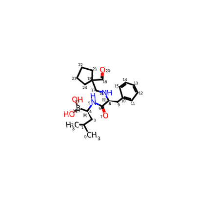 CC(C)C[C@H](NC(=O)[C@H](Cc1ccccc1)NCC1(C=O)CCCC1)B(O)O